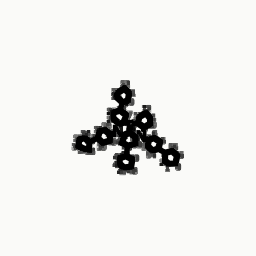 c1ccc(-c2ccc(N3c4ccccc4B4c5cc(-c6ccccc6)ccc5N(c5ccc(-c6ccccc6)cc5)c5cc(-c6ccccc6)cc3c54)cc2)cc1